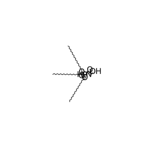 CCCCCCCCCCCCCCCCCCOc1cc(CC(N)(C(=O)O)C(C)C)cc(OCCCCCCCCCCCCCCCCCC)c1OCCCCCCCCCCCCCCCCCC